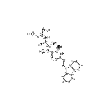 CC[C@H](C)[C@H](NC(=O)OCC1c2ccccc2-c2ccccc21)C(=O)N(C)[C@H](C(=O)N[C@@H](CC(=O)O)C(=O)O)C(C)C